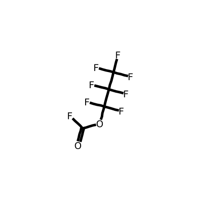 O=C(F)OC(F)(F)C(F)(F)C(F)(F)F